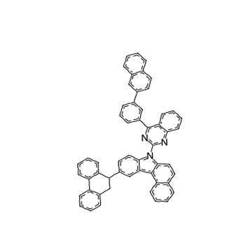 c1cc(-c2ccc3ccccc3c2)cc(-c2nc(-n3c4ccc(C5Cc6ccccc6-c6ccccc65)cc4c4c5ccccc5ccc43)nc3ccccc23)c1